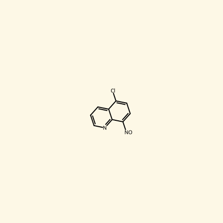 O=Nc1ccc(Cl)c2cccnc12